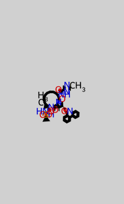 C/C1=C/CCCCC[C@H](NC(=O)c2cnc(C)cn2)C(=O)N2C[C@H](COc3nc4ccccc4c4ccccc34)C[C@H]2C(=O)N[C@]2(C(=O)NS(=O)(=O)C3CC3)CC12